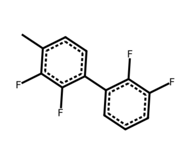 Cc1ccc(-c2cccc(F)c2F)c(F)c1F